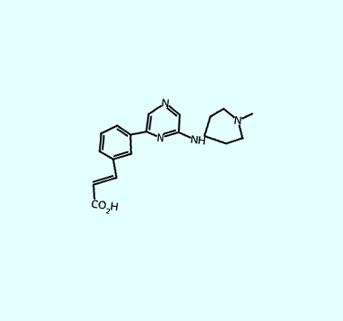 CN1CCC(Nc2cncc(-c3cccc(C=CC(=O)O)c3)n2)CC1